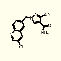 N#Cc1nn(Cc2ccc3ncc(Cl)cc3c2)cc1C(N)=O